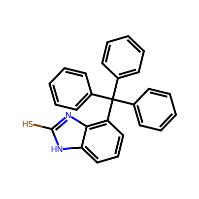 Sc1nc2c(C(c3ccccc3)(c3ccccc3)c3ccccc3)cccc2[nH]1